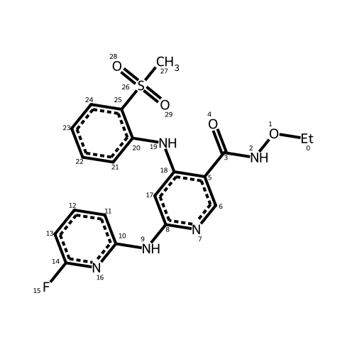 CCONC(=O)c1cnc(Nc2cccc(F)n2)cc1Nc1ccccc1S(C)(=O)=O